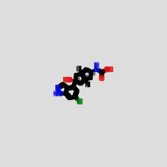 O=C(O)N[C@@H]1C[C@@H]2C[C@@](O)(c3cc(Cl)cc4[nH]ncc34)C[C@@H]2C1